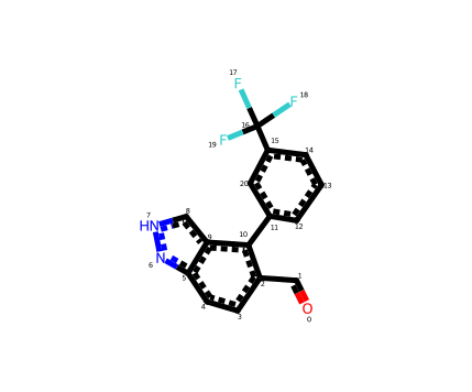 O=Cc1ccc2n[nH]cc2c1-c1cccc(C(F)(F)F)c1